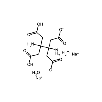 NC(CC(=O)[O-])(CC(=O)[O-])C(N)(CC(=O)O)CC(=O)O.O.O.[Na+].[Na+]